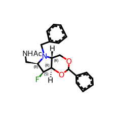 CC(=O)NC[C@@H]1[C@H](F)[C@@H]2OC(c3ccccc3)OC[C@H]2N1Cc1ccccc1